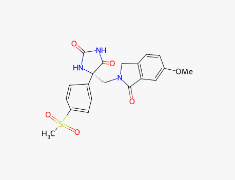 COc1ccc2c(c1)C(=O)N(C[C@]1(c3ccc(S(C)(=O)=O)cc3)NC(=O)NC1=O)C2